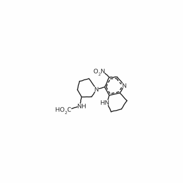 O=C(O)NC1CCCN(c2c([N+](=O)[O-])cnc3c2NCCC3)C1